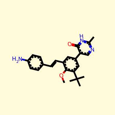 COc1c(/C=C/c2ccc(N)cc2)cc(-c2cnc(C)[nH]c2=O)cc1C(C)(C)C